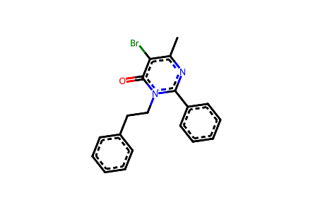 Cc1nc(-c2ccccc2)n(CCc2ccccc2)c(=O)c1Br